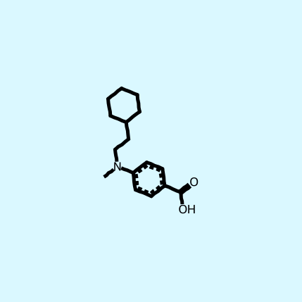 CN(CCC1CCCCC1)c1ccc(C(=O)O)cc1